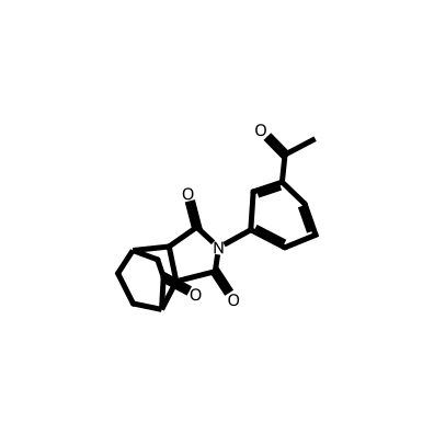 CC(=O)c1cccc(N2C(=O)C3C4CCC(C(=O)C4)C3C2=O)c1